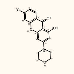 [O]c1ccc2c(=O)c3c(O)cc(N4CCOCC4)cc3oc2c1